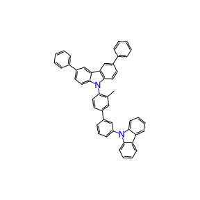 Cc1cc(-c2cccc(-n3c4ccccc4c4ccccc43)c2)ccc1-n1c2ccc(-c3ccccc3)cc2c2cc(-c3ccccc3)ccc21